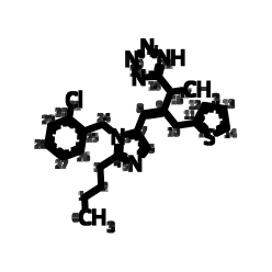 CCCCc1ncc(/C=C(\Cc2cccs2)C(C)c2nnn[nH]2)n1Cc1ccccc1Cl